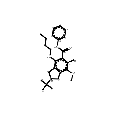 CCCCOc1c2c(c(OC)c(C)c1C(=O)Oc1ccccc1)CN(C(C)(C)C)C2